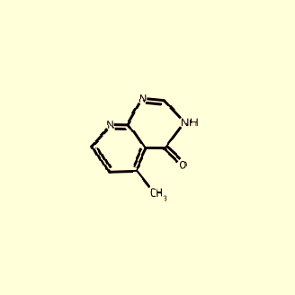 Cc1ccnc2nc[nH]c(=O)c12